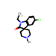 CC(C)N1CCC2(CC1)C(=O)N(CC(F)(F)F)c1ccc(Cl)cc12